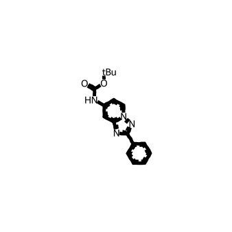 CC(C)(C)OC(=O)Nc1ccn2nc(-c3ccccc3)nc2c1